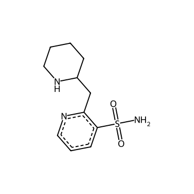 NS(=O)(=O)c1cccnc1CC1CCCCN1